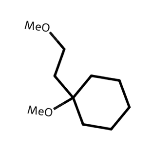 COCCC1(OC)CCCCC1